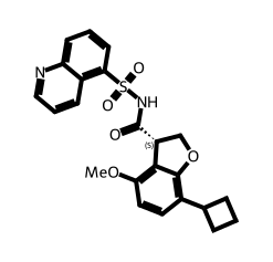 COc1ccc(C2CCC2)c2c1[C@H](C(=O)NS(=O)(=O)c1cccc3ncccc13)CO2